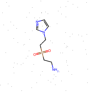 NCCS(=O)(=O)CCn1ccnc1